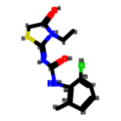 CCN1C(=O)CSC1=NC(=O)Nc1c(C)cccc1Cl